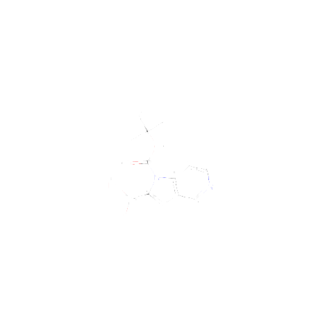 CC(C)(C)OC(=O)n1c(B(O)O)cc2cnccc21